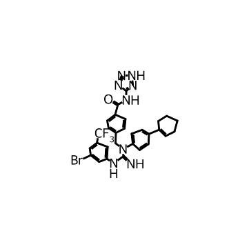 N=C(Nc1cc(Br)cc(C(F)(F)F)c1)N(Cc1ccc(C(=O)Nc2nn[nH]n2)cc1)c1ccc(C2=CCCCC2)cc1